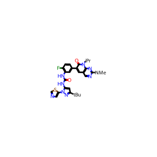 CNc1ncc2cc(-c3ccc(F)c(NC(=O)Nc4cc(C(C)(C)C)nn4-c4cncs4)c3)c(=O)n(C(C)C)c2n1